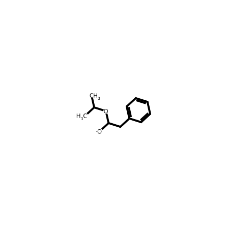 CC(C)OC([O])Cc1ccccc1